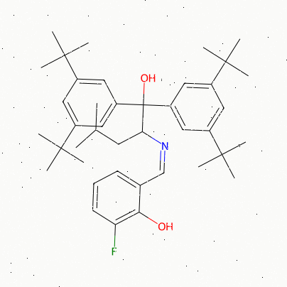 CC(C)CC(N=Cc1cccc(F)c1O)C(O)(c1cc(C(C)(C)C)cc(C(C)(C)C)c1)c1cc(C(C)(C)C)cc(C(C)(C)C)c1